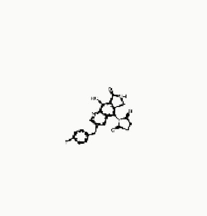 O=C1NCc2c1c(O)c1ncc(Cc3ccc(F)cc3)cc1c2N1C(=O)CCC1=O